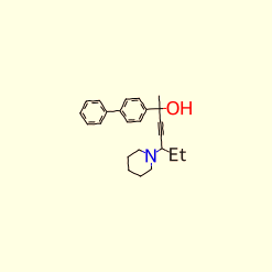 CCC(C#CC(C)(O)c1ccc(-c2ccccc2)cc1)N1CCCCC1